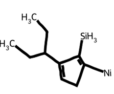 CCC(CC)C1=CC[C]([Ni])=C1[SiH3]